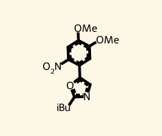 CCC(C)c1ncc(-c2cc(OC)c(OC)cc2[N+](=O)[O-])o1